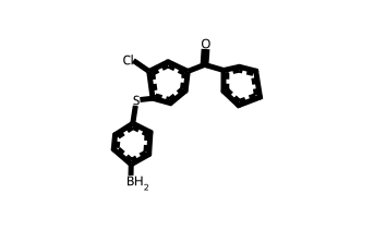 Bc1ccc(Sc2ccc(C(=O)c3ccccc3)cc2Cl)cc1